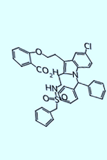 O=C(O)c1ccccc1OCCc1c(CCNS(=O)(=O)Cc2ccccc2)n(C(c2ccccc2)c2ccccc2)c2ccc(Cl)cc12